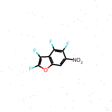 O=[N+]([O-])c1cc2oc(F)c(F)c2c(F)c1F